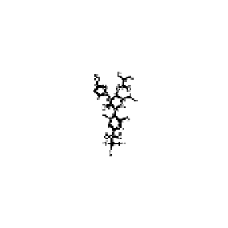 CCc1nn(-c2c(C)cc(S(=O)(=O)C(F)(F)F)cc2C)c(=O)c(-n2ccc(Cl)n2)c1OC(=O)C(C)C